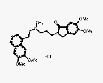 COc1cc2c(cc1OC)C(=O)N(CCCN(C)CCc1cncc3cc(OC)c(OC)cc13)C2.Cl